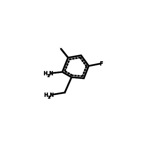 Cc1cc(F)cc(CN)c1N